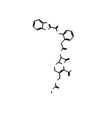 CNC(=O)OCC1=C(C(=O)O)N2C(=O)C(NC(=O)Cc3ccccc3NC(=O)c3nc4ccccc4[nH]3)[C@H]2SC1